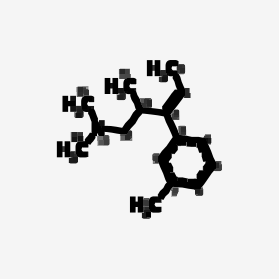 CC=C(c1cccc(C)c1)C(C)CN(C)C